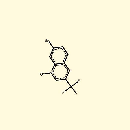 CC(F)(F)c1cc2ccc(Br)cc2[n+]([O-])c1